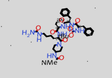 CNC(=O)NC1CCN(C(=O)[C@@H](CCCCNC(N)=O)NC(=O)[C@@H](CC(C)C)NC(=O)[C@@H](Cc2ccccc2)NC(=O)[C@@H](Cc2ccccc2)NC(=O)OC(C)(C)C)CC1